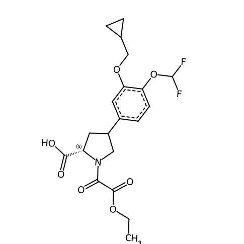 CCOC(=O)C(=O)N1CC(c2ccc(OC(F)F)c(OCC3CC3)c2)C[C@H]1C(=O)O